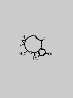 C[C@H]1C[C@@H]2C[C@H]2CC/C=C/C(=O)Cc2cc(O)cc(O)c2C(=O)O1